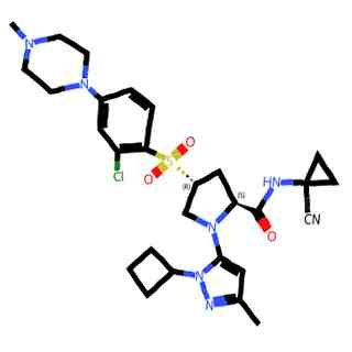 Cc1cc(N2C[C@H](S(=O)(=O)c3ccc(N4CCN(C)CC4)cc3Cl)C[C@H]2C(=O)NC2(C#N)CC2)n(C2CCC2)n1